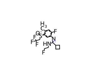 Cc1cc(F)c(/N=C(\NCCF)C2CCC2)cc1[S+]([O-])CC(F)(F)F